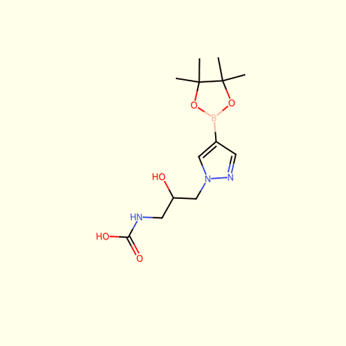 CC1(C)OB(c2cnn(CC(O)CNC(=O)O)c2)OC1(C)C